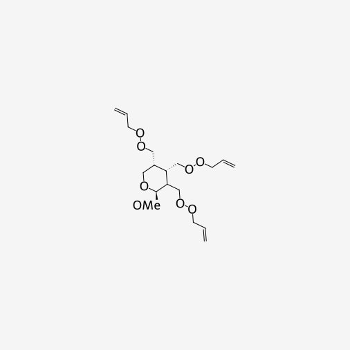 C=CCOOCC1[C@@H](OC)OC[C@H](COOCC=C)[C@@H]1COOCC=C